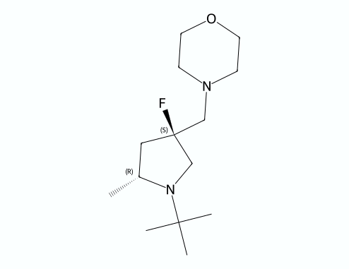 C[C@@H]1C[C@](F)(CN2CCOCC2)CN1C(C)(C)C